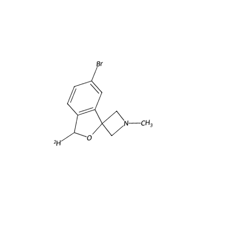 [2H]C1OC2(CN(C)C2)c2cc(Br)ccc21